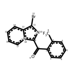 O=C(c1ccccc1C(F)(F)F)c1nc(Br)c2ccccn12